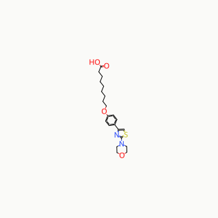 O=C(O)CCCCCCCCOc1ccc(-c2csc(N3CCOCC3)n2)cc1